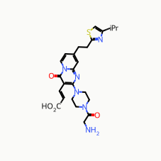 CC(C)c1csc(CCc2ccn3c(=O)c(C=CC(=O)O)c(N4CCN(C(=O)CN)CC4)nc3c2)n1